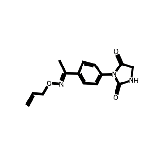 C=CCON=C(C)c1ccc(N2C(=O)CNC2=O)cc1